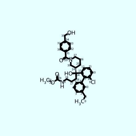 CCc1cccc(-c2c(Cl)cccc2C(O)(CCCNC(=O)OC)[C@@H]2CCCN(C(=O)c3ccc(CO)cc3)C2)c1